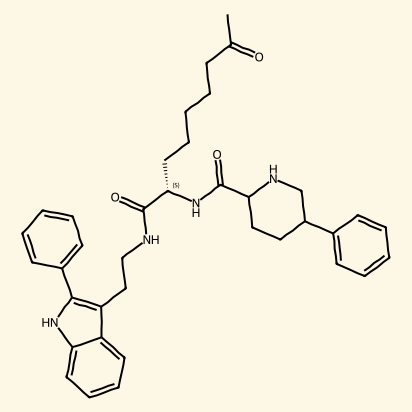 CC(=O)CCCCC[C@H](NC(=O)C1CCC(c2ccccc2)CN1)C(=O)NCCc1c(-c2ccccc2)[nH]c2ccccc12